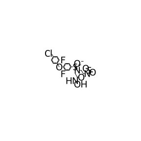 CN(CCN(CC(=O)NO)[S+]([O-])c1cc(F)c(Oc2ccc(Cl)cc2)c(F)c1)S(C)(=O)=O